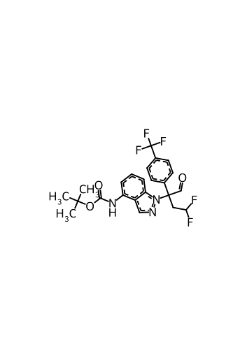 CC(C)(C)OC(=O)Nc1cccc2c1cnn2C(C=O)(CC(F)F)c1ccc(C(F)(F)F)cc1